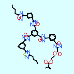 C=C(C)C(=O)OCCOC(=O)c1noc(-c2cccc(-c3noc(-c4cc(-c5nc(-c6cccc(-c7noc(CCCC)n7)c6)no5)cc(-c5nc(-c6cccc(-c7nc(CCCC)ns7)c6)no5)c4)n3)c2)n1